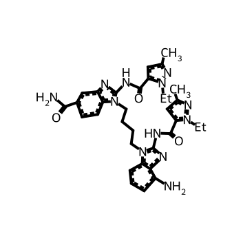 CCn1nc(C)cc1C(=O)Nc1nc2cc(C(N)=O)ccc2n1CCCCn1c(NC(=O)c2cc(C)nn2CC)nc2c(N)cccc21